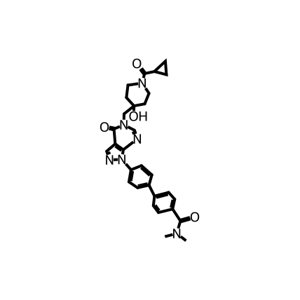 CN(C)C(=O)c1ccc(-c2ccc(-n3ncc4c(=O)n(CC5(O)CCN(C(=O)C6CC6)CC5)cnc43)cc2)cc1